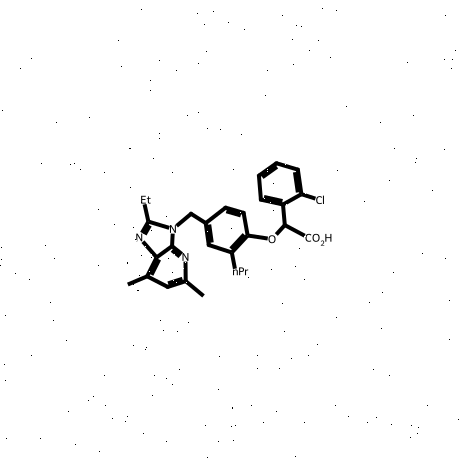 CCCc1cc(Cn2c(CC)nc3c(C)cc(C)nc32)ccc1OC(C(=O)O)c1ccccc1Cl